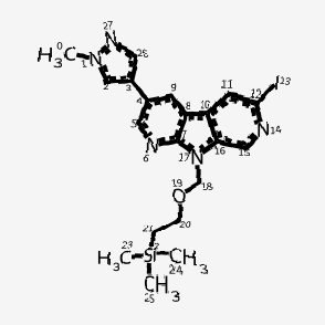 Cn1cc(-c2cnc3c(c2)c2cc(I)ncc2n3COCC[Si](C)(C)C)cn1